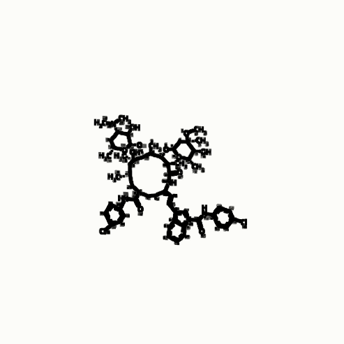 CO[C@]1(C)C[C@H](O[C@H]2[C@H](C)[C@@H](O[C@@H]3O[C@H](C)C[C@H](N(C)C)[C@H]3O)[C@](C)(O)C[C@@H](C)CN(C(=O)Nc3ccc(Cl)cc3)CCC(/C=C/c3cn(C(=O)Nc4ccc(Cl)cc4)c4ccccc34)NC(=O)[C@@H]2C)O[C@@H](C)[C@@H]1O